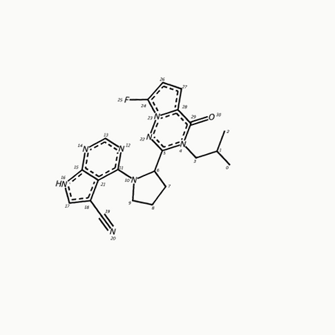 CC(C)Cn1c(C2CCCN2c2ncnc3[nH]cc(C#N)c23)nn2c(F)ccc2c1=O